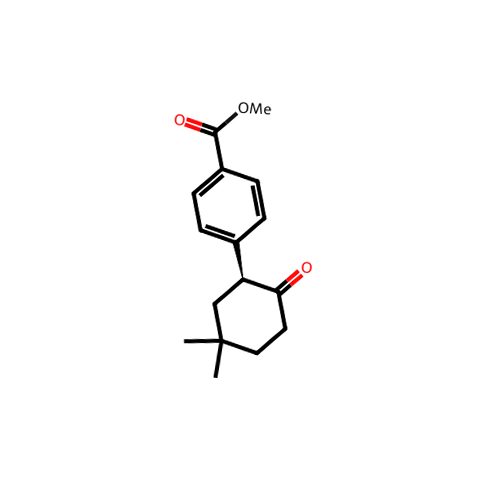 COC(=O)c1ccc([C@@H]2CC(C)(C)CCC2=O)cc1